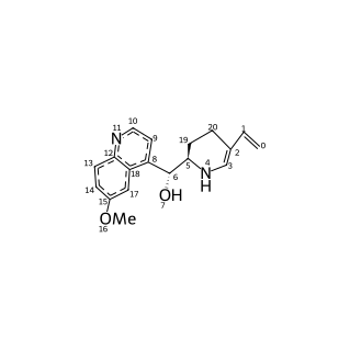 C=CC1=CN[C@@H]([C@H](O)c2ccnc3ccc(OC)cc23)CC1